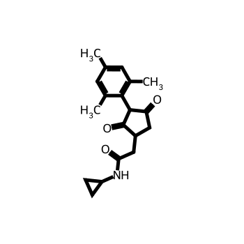 Cc1cc(C)c(C2C(=O)CC(CC(=O)NC3CC3)C2=O)c(C)c1